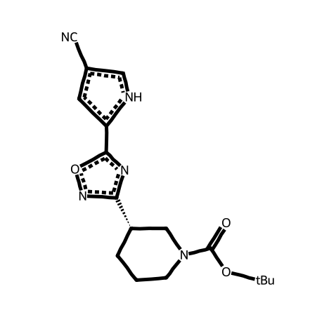 CC(C)(C)OC(=O)N1CCC[C@H](c2noc(-c3cc(C#N)c[nH]3)n2)C1